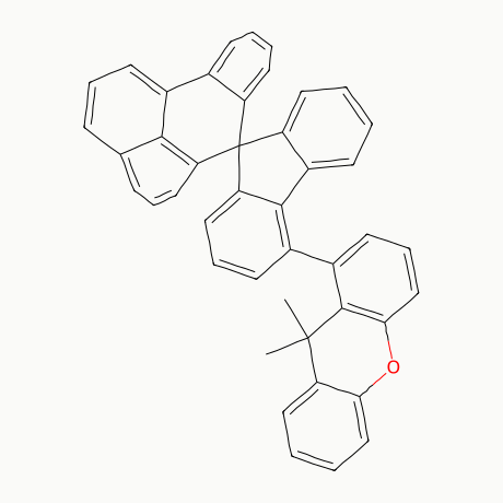 CC1(C)c2ccccc2Oc2cccc(-c3cccc4c3-c3ccccc3C43c4ccccc4-c4cccc5cccc3c45)c21